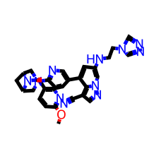 COc1ccc(CN2C3CC2CN(c2ccc(-c4cc(NCCn5cnnc5)cn5ncc(C#N)c45)cn2)C3)cn1